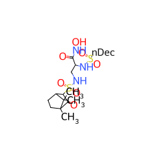 CCCCCCCCCCS(=O)(=O)NC(CNS(=O)(=O)C1C(=O)C2(C)CCC1C2(C)C)C(=O)NO